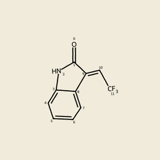 O=C1Nc2ccccc2C1=CC(F)(F)F